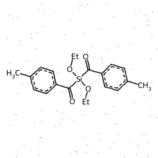 CCO[Si](OCC)(C(=O)c1ccc(C)cc1)C(=O)c1ccc(C)cc1